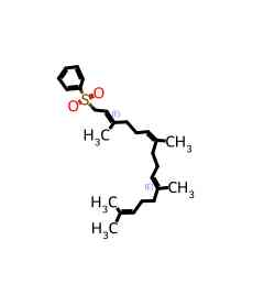 CC(C)=CCC/C(C)=C/CCC(C)=CCC/C(C)=C/CS(=O)(=O)c1ccccc1